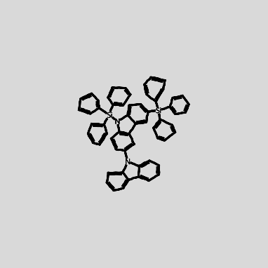 c1ccc([Si](c2ccccc2)(c2ccccc2)c2ccc3c(c2)c2cc(-n4c5ccccc5c5ccccc54)ccc2n3[Si](c2ccccc2)(c2ccccc2)c2ccccc2)cc1